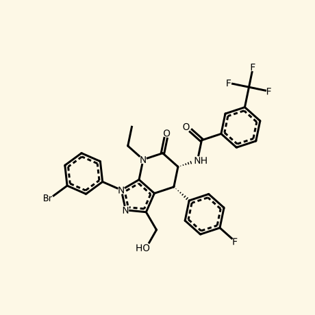 CCN1C(=O)[C@H](NC(=O)c2cccc(C(F)(F)F)c2)[C@H](c2ccc(F)cc2)c2c(CO)nn(-c3cccc(Br)c3)c21